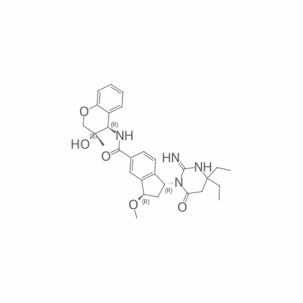 CCC1(CC)CC(=O)N([C@@H]2C[C@@H](OC)c3cc(C(=O)N[C@@H]4c5ccccc5OC[C@@]4(C)O)ccc32)C(=N)N1